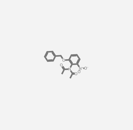 CC(=O)N(C(C)=O)c1c(OCc2ccccc2)cccc1[N+](=O)[O-]